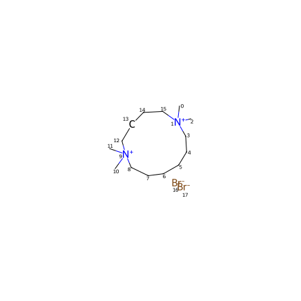 C[N+]1(C)CCCCCC[N+](C)(C)CCCC1.[Br-].[Br-]